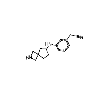 N#CCc1cccc(NC2CCC3(CNC3)C2)c1